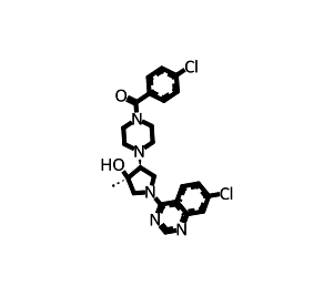 C[C@@]1(O)CN(c2ncnc3cc(Cl)ccc23)C[C@H]1N1CCN(C(=O)c2ccc(Cl)cc2)CC1